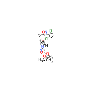 CC(C)(C)OC(=O)C1CC(N2C[C@@H]3C[C@H]2C[C@H]3OCc2c(-c3c(Cl)cccc3Cl)noc2C2CC2)=NO1